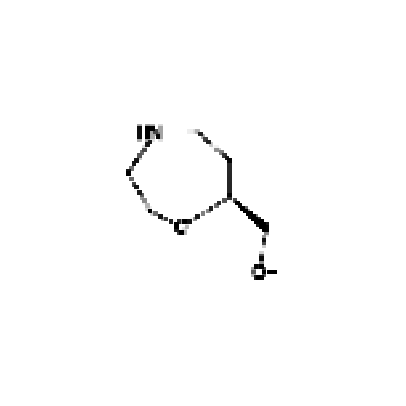 OC[C@@H]1CCNCCO1